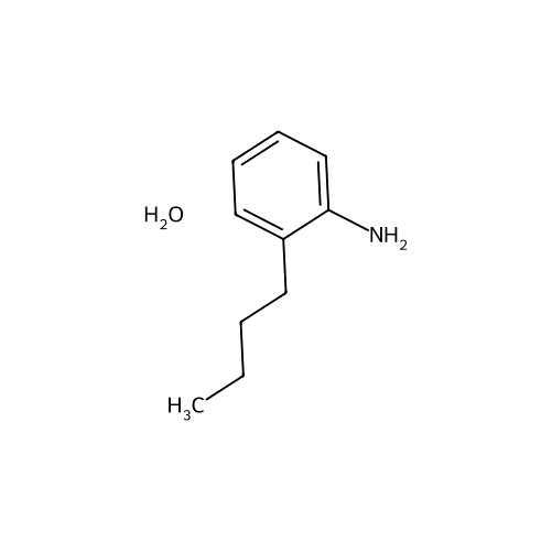 CCCCc1ccccc1N.O